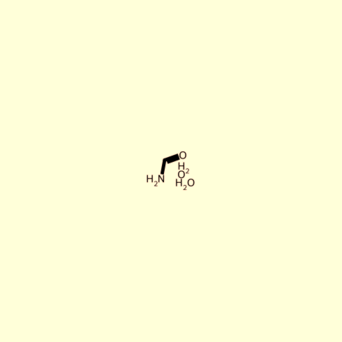 NC=O.O.O